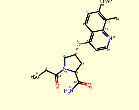 COc1ccc2c(O[C@@H]3CC(C(N)=O)N(C(=O)CC(C)(C)C)C3)ccnc2c1C